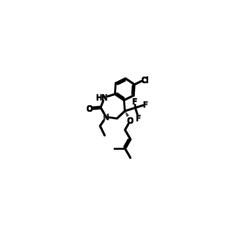 CCN1C[C@](OCC=C(C)C)(C(F)(F)F)c2cc(Cl)ccc2NC1=O